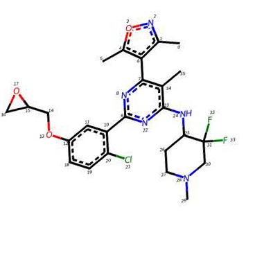 Cc1noc(C)c1-c1nc(-c2cc(OCC3CO3)ccc2Cl)nc(NC2CCN(C)CC2(F)F)c1C